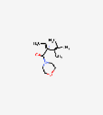 C/C=C(\C(=O)N1CCOCC1)C(C)=C(C)C